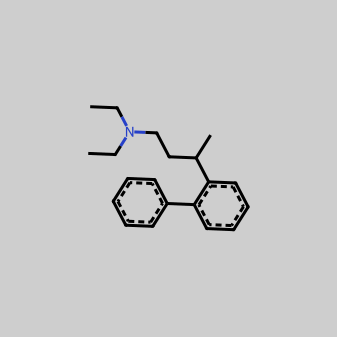 CCN(CC)CCC(C)c1ccccc1-c1ccccc1